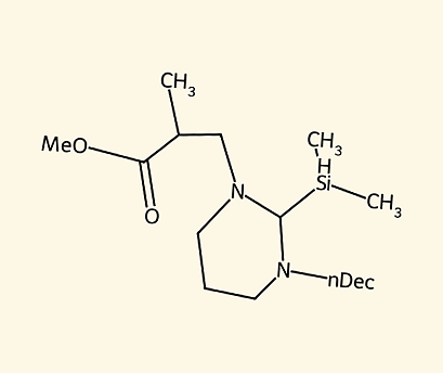 CCCCCCCCCCN1CCCN(CC(C)C(=O)OC)C1[SiH](C)C